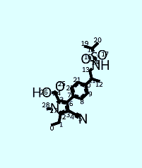 CCc1c(C#N)c(-c2ccc(C(C)CNS(=O)(=O)C(C)C)cc2)c(C(=O)O)n1C